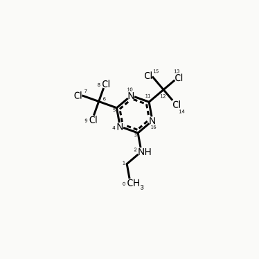 CCNc1nc(C(Cl)(Cl)Cl)nc(C(Cl)(Cl)Cl)n1